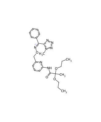 CCCOC(C)(OCCC)C(=O)Nc1cccc(CO/N=C(/c2ccccc2)c2nnnn2C)n1